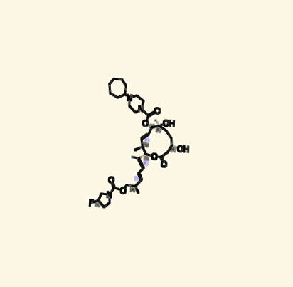 C/C(=C\C=C\[C@@H](C)COC(=O)N1CC[C@@H](F)C1)[C@H]1OC(=O)C[C@@H](O)CC[C@](C)(O)[C@@H](OC(=O)N2CCN(C3CCCCCC3)CC2)/C=C/[C@@H]1C